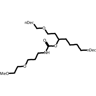 CCCCCCCCCCCCCCC(CCOCCCCCCCCCCC)OC(=O)NCCCOCCOC